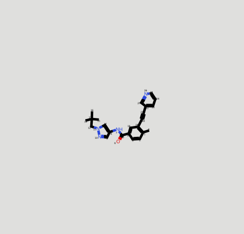 Cc1ccc(C(=O)Nc2cnn(CC(C)(C)C)c2)cc1C#Cc1cccnc1